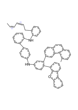 C/C=C\C=C/Cc1ccccc1Nc1ccccc1-c1ccc(Nc2ccc(-c3cccc4c3oc3ccccc34)c(-c3ccc4ccc5cccc(C)c5c4c3)c2)cc1